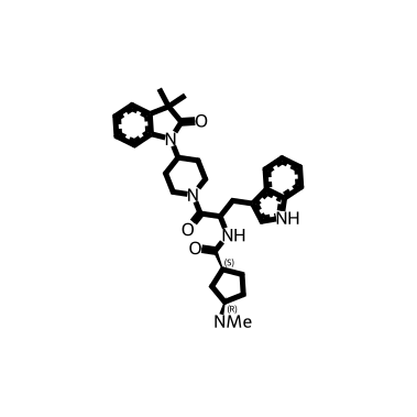 CN[C@@H]1CC[C@H](C(=O)NC(Cc2c[nH]c3ccccc23)C(=O)N2CCC(N3C(=O)C(C)(C)c4ccccc43)CC2)C1